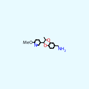 COc1ccc(C2Oc3ccc(CN)cc3OC2C)cn1